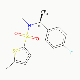 Cc1ccc(S(=O)(=O)N(C)[C@H](c2ccc(F)cc2)C(F)(F)F)s1